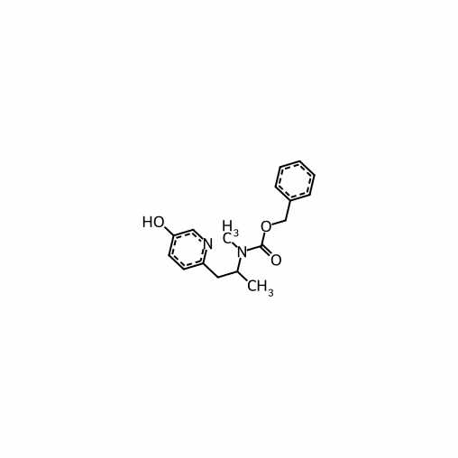 CC(Cc1ccc(O)cn1)N(C)C(=O)OCc1ccccc1